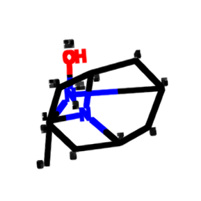 CCN1C2CC3CC1CC(C2)N3O